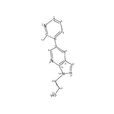 Cc1ncccc1-c1cnc2c(cnn2CCO)c1